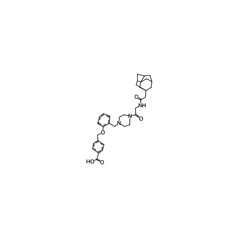 O=C(CC12CC3CC4CC(C1)C4(C3)C2)NCC(=O)N1CCN(Cc2ccccc2OCc2ccc(C(=O)O)cc2)CC1